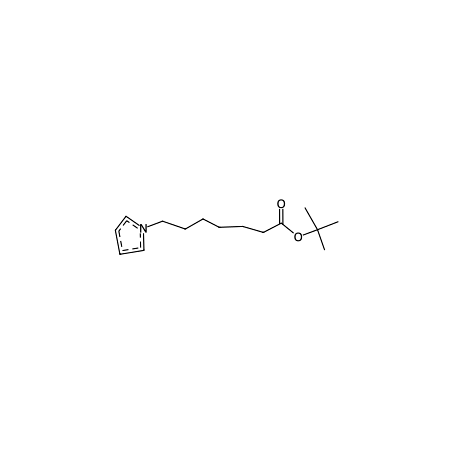 CC(C)(C)OC(=O)CCCCCCn1cccc1